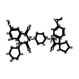 COc1ccc(C2(C(=O)N[C@H]3CC[C@@H](n4c(=O)c5cc(F)cnc5n(C5CCSCC5)c4=O)CC3)CCCC2)cc1